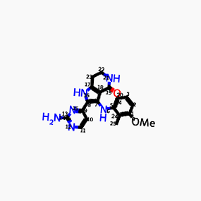 COc1cccc(Nc2c(-c3ccnc(N)n3)[nH]c3c2C(=O)NCC3)c1C